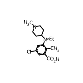 CCN(c1cc(Cl)cc(C(=O)O)c1C)C1CCN(C)CC1